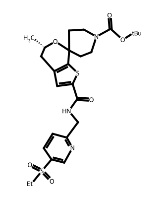 CCS(=O)(=O)c1ccc(CNC(=O)c2cc3c(s2)C2(CCN(C(=O)OC(C)(C)C)CC2)O[C@@H](C)C3)nc1